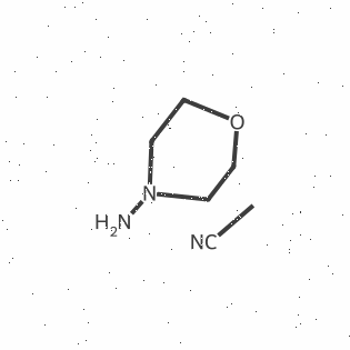 CC#N.NN1CCOCC1